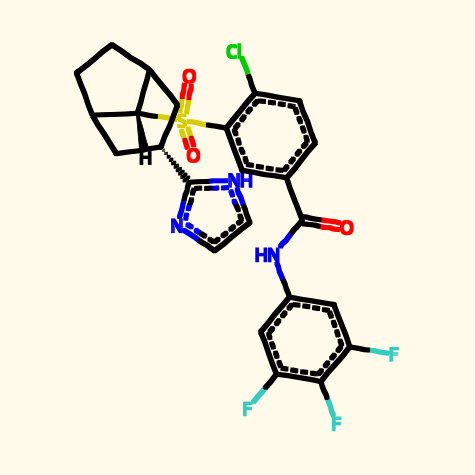 O=C(Nc1cc(F)c(F)c(F)c1)c1ccc(Cl)c(S(=O)(=O)[C@H]2C3CCC2C[C@@H](c2ncc[nH]2)C3)c1